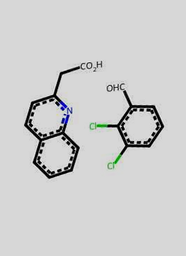 O=C(O)Cc1ccc2ccccc2n1.O=Cc1cccc(Cl)c1Cl